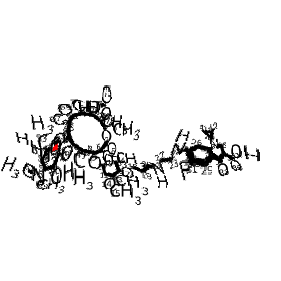 CC[C@@H]1OC(=O)[C@H](C)[C@H](O[C@@H]2C[C@](C)(OC)[C@H](OCCCNCCNc3cc4c(cc3F)c(=O)c(C(=O)O)cn4C3CC3)[C@H](C)O2)[C@@H](C)[C@H](O[C@H]2O[C@@H](C)C[C@@H](N(C)C)[C@H]2O)[C@](C)(OC)C[C@H](C)C(=O)C(C)[C@H]2OC(=O)O[C@@]12C